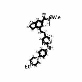 CCN1CCN(c2ccc(Nc3ncc(CCc4cc(C(=O)NOC)cc5c4CCO5)cn3)cc2)CC1